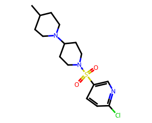 CC1CCN(C2CCN(S(=O)(=O)c3ccc(Cl)nc3)CC2)CC1